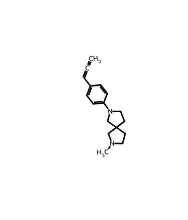 C=C=Cc1ccc(N2CCC3(CCN(C)C3)C2)cc1